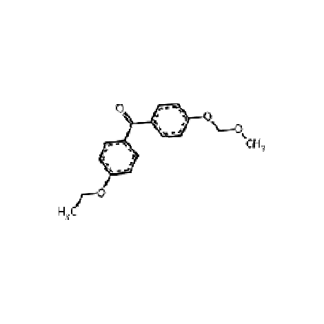 CCOc1ccc(C(=O)c2ccc(OCOC)cc2)cc1